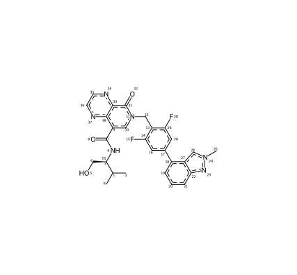 CC(C)[C@@H](CO)NC(=O)c1cn(Cc2c(F)cc(-c3cccc4nn(C)cc34)cc2F)c(=O)c2nccnc12